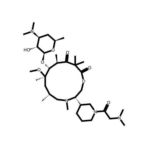 CO[C@]1(C)C[C@@H](C)CN(C)[C@@H](C2CCCN(C(=O)CN(C)C)C2)COC(=O)C(C)(C)C(=O)[C@H](C)[C@H]1O[C@@H]1O[C@H](C)C[C@H](N(C)C)[C@H]1O